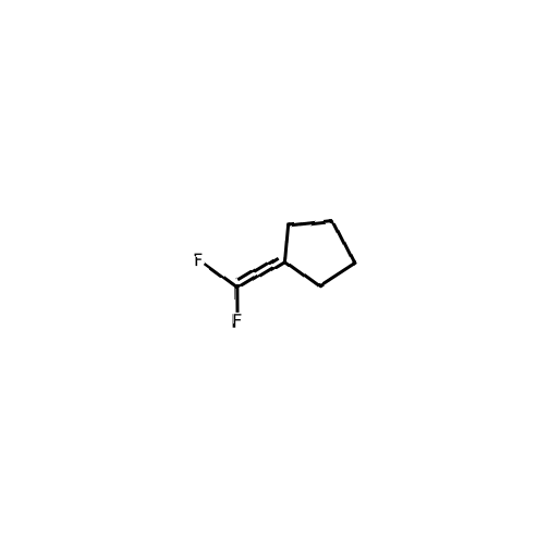 FC(F)=C1CCCC1